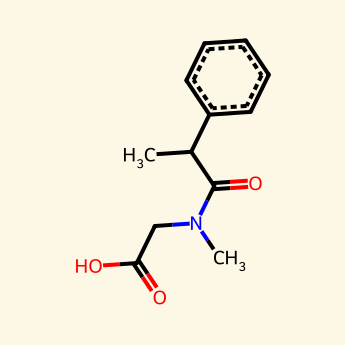 CC(C(=O)N(C)CC(=O)O)c1ccccc1